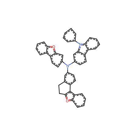 c1ccc(-n2c3ccccc3c3ccc(N(c4ccc5c(c4)CCc4oc6ccccc6c4-5)c4ccc5c(c4)oc4ccccc45)cc32)cc1